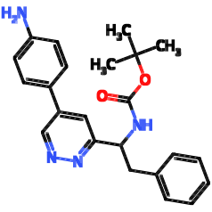 CC(C)(C)OC(=O)NC(Cc1ccccc1)c1cc(-c2ccc(N)cc2)cnn1